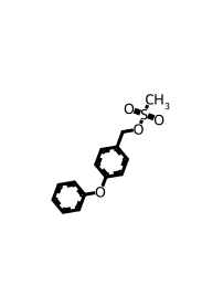 CS(=O)(=O)OCc1ccc(Oc2ccccc2)cc1